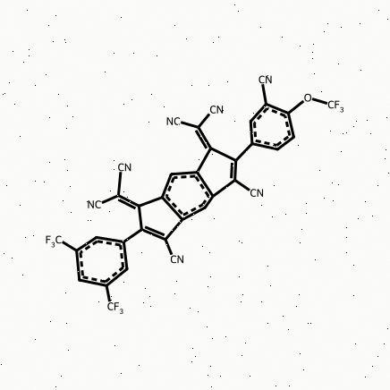 N#CC(C#N)=C1C(c2cc(C(F)(F)F)cc(C(F)(F)F)c2)=C(C#N)c2cc3c(cc21)C(=C(C#N)C#N)C(c1ccc(OC(F)(F)F)c(C#N)c1)=C3C#N